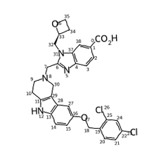 O=C(O)c1ccc2nc(CN3CCc4[nH]c5ccc(OCc6ccc(Cl)cc6Cl)cc5c4C3)n(C[C@@H]3CCO3)c2c1